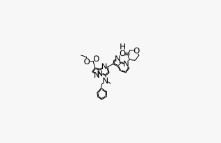 CCOC(=O)c1cnn2c(N(C)Cc3ccccc3)cc(-c3cnc4n(C5CCOC[C@@H]5O)cccc3-4)nc12